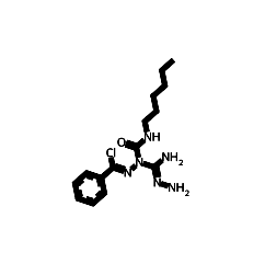 CCCCCCNC(=O)N(N=C(Cl)c1ccccc1)C(N)=NN